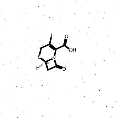 O=C(O)C1=C(I)CS[C@@H]2CC(=O)N12